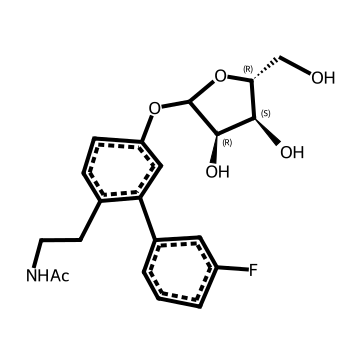 CC(=O)NCCc1ccc(OC2O[C@H](CO)[C@@H](O)[C@H]2O)cc1-c1cccc(F)c1